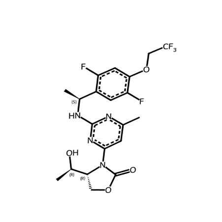 Cc1cc(N2C(=O)OC[C@@H]2[C@@H](C)O)nc(N[C@@H](C)c2cc(F)c(OCC(F)(F)F)cc2F)n1